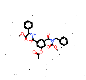 COC(=O)C(NC(=O)c1cc(OC(C)=O)cc(C(=O)N(Cc2ccccc2)C(=O)OC)c1)c1ccccc1